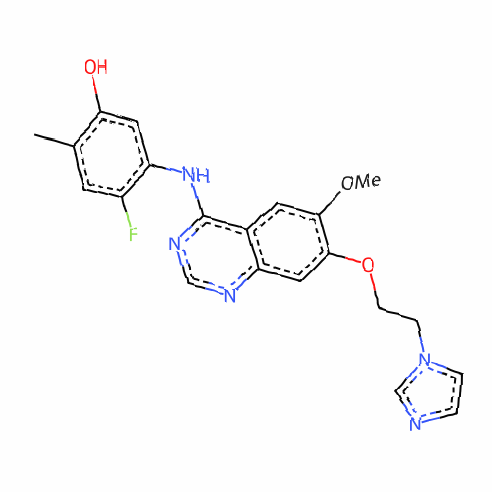 COc1cc2c(Nc3cc(O)c(C)cc3F)ncnc2cc1OCCn1ccnc1